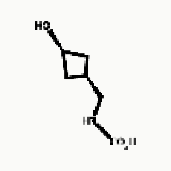 O=C(O)NC[C@H]1C[C@@H](O)C1